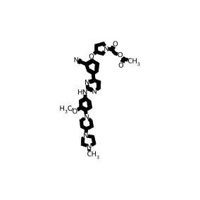 COc1cc(Nc2nccc(-c3ccc(OC4CCN(C(=O)COC(C)=O)C4)c(C#N)c3)n2)ccc1N1CCC(N2CCN(C)CC2)CC1